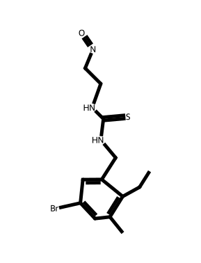 CCc1c(C)cc(Br)cc1CNC(=S)NCCN=O